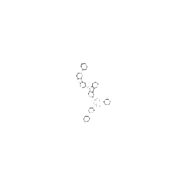 c1ccc(-c2ccc(-c3nc(-c4ccccc4)nc(-c4ccc5c(c4)c4ccccc4n5-c4ccc5oc6ccc(-c7ccccc7)cc6c5c4)n3)cc2)cc1